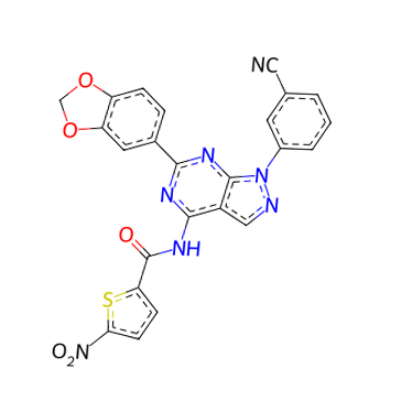 N#Cc1cccc(-n2ncc3c(NC(=O)c4ccc([N+](=O)[O-])s4)nc(-c4ccc5c(c4)OCO5)nc32)c1